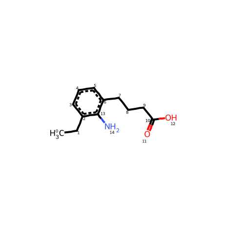 CCc1cccc(CCCC(=O)O)c1N